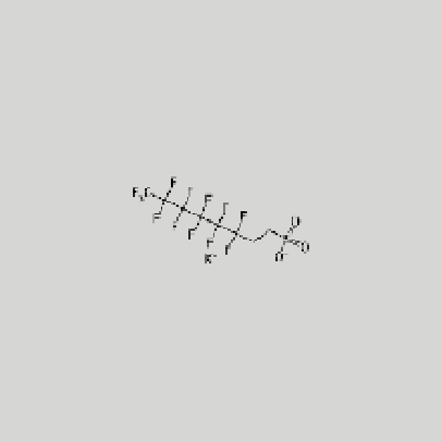 O=S(=O)([O-])CCC(F)(F)C(F)(F)C(F)(F)C(F)(F)C(F)(F)C(F)(F)F.[K+]